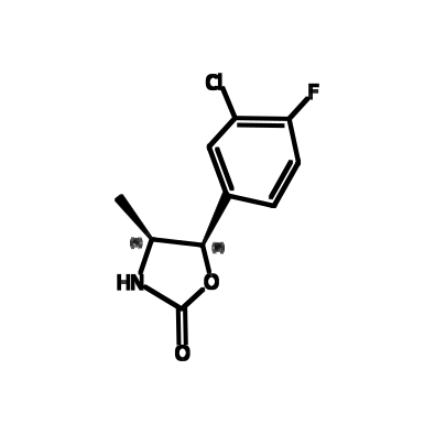 C[C@@H]1NC(=O)O[C@@H]1c1ccc(F)c(Cl)c1